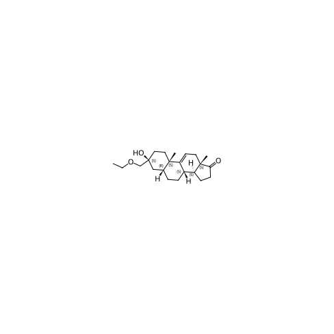 CCOC[C@]1(O)CC[C@]2(C)C3=CC[C@]4(C)C(=O)CC[C@H]4[C@@H]3CC[C@@H]2C1